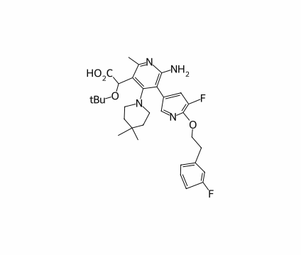 Cc1nc(N)c(-c2cnc(OCCc3cccc(F)c3)c(F)c2)c(N2CCC(C)(C)CC2)c1C(OC(C)(C)C)C(=O)O